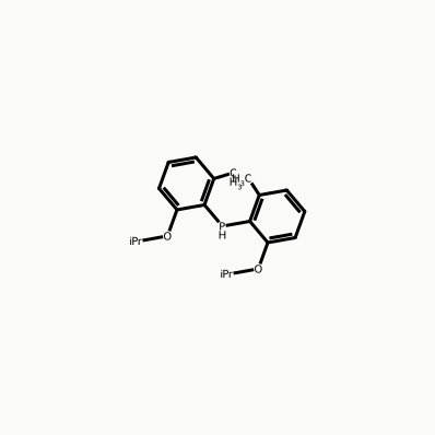 Cc1cccc(OC(C)C)c1Pc1c(C)cccc1OC(C)C